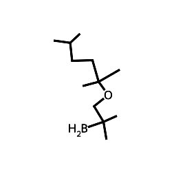 BC(C)(C)COC(C)(C)CCC(C)C